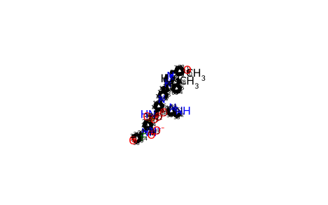 COc1ccc(CN2CCN(C3CC4(CCN(c5ccc(C(=O)NS(=O)(=O)c6ccc(NCC7(F)CCOCC7)c([N+](=O)[O-])c6)c(Oc6cnc7[nH]ccc7c6)c5)CC4)C3)[C@H](c3ccccc3C(C)C)C2)cc1